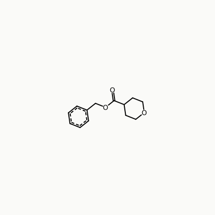 O=C(OCc1ccccc1)C1CCOCC1